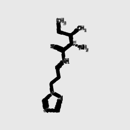 CCC(C)[C@H](N)C(=S)NCCCn1cncn1